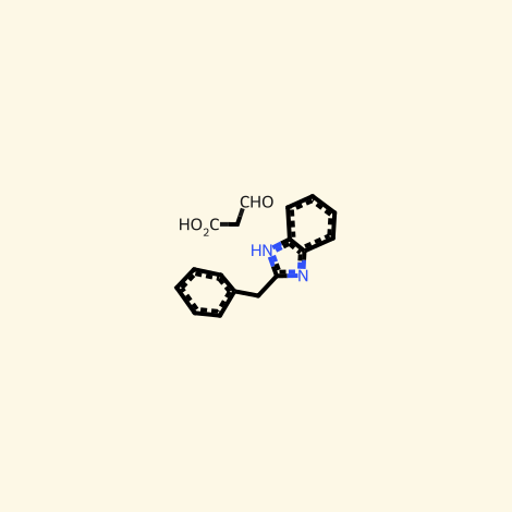 O=CCC(=O)O.c1ccc(Cc2nc3ccccc3[nH]2)cc1